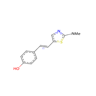 CNc1ncc(/C=C/c2ccc(O)cc2)s1